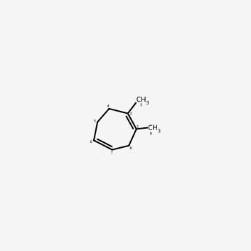 CC1=C(C)CCC=CC1